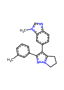 Cc1cccc(-c2nn3c(c2-c2ccc4ncn(C)c4c2)CCC3)c1